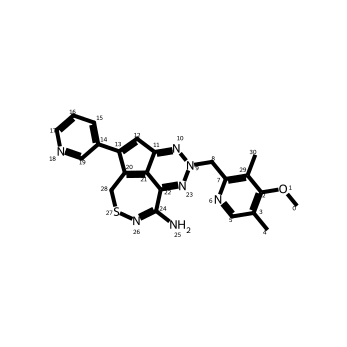 COc1c(C)cnc(Cn2nc3cc(-c4cccnc4)c4c-3c(n2)C(N)=NSC4)c1C